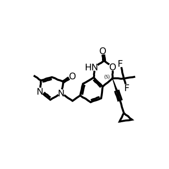 Cc1cc(=O)n(Cc2ccc3c(c2)NC(=O)O[C@]3(C#CC2CC2)C(C)(F)F)cn1